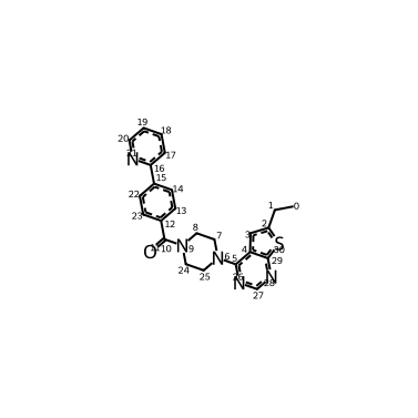 CCc1cc2c(N3CCN(C(=O)c4ccc(-c5ccccn5)cc4)CC3)ncnc2s1